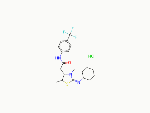 CC1SC(=NC2CCCCC2)N(C)C1CC(=O)Nc1ccc(C(F)(F)F)cc1.Cl